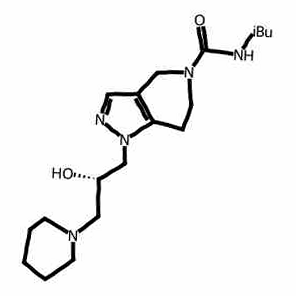 CCC(C)NC(=O)N1CCc2c(cnn2C[C@@H](O)CN2CCCCC2)C1